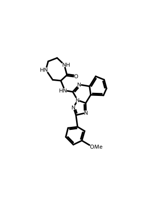 COc1cccc(-c2nc3c4ccccc4nc(NC4CNCCNC4=O)n3n2)c1